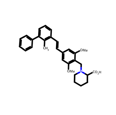 COc1cc(C=Cc2cccc(-c3ccccc3)c2C)cc(OC)c1CN1CCCCC1C(=O)O